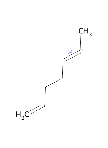 C=CCC/C=[C]/C